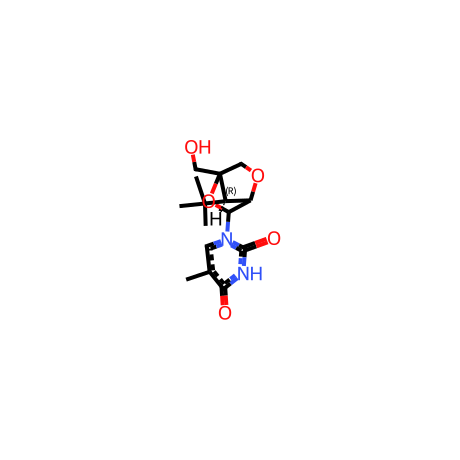 Cc1cn(C2OC3(CO)COC2[C@H]3C(C)(C)C)c(=O)[nH]c1=O